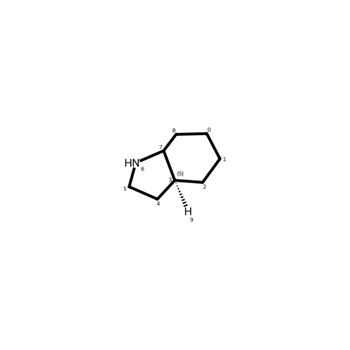 C1CC[C@H]2CCNC2C1